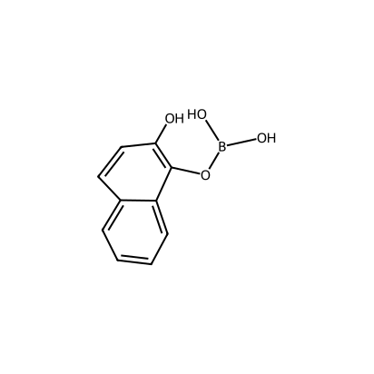 OB(O)Oc1c(O)ccc2ccccc12